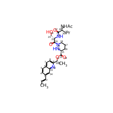 C/C=C/c1ccc2ccc([C@@H](C)OC(=O)[C@@H]3CCCN(C(=O)[C@H](CO)NC(=O)[C@@H](NC(C)=O)C(C)C)N3)nc2c1